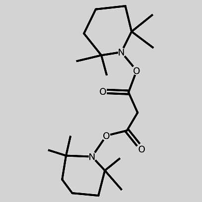 CC1(C)CCCC(C)(C)N1OC(=O)CC(=O)ON1C(C)(C)CCCC1(C)C